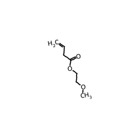 C=CCC(=O)OCCOC